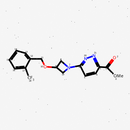 COC(=O)c1ccc(N2CC(OCc3ccccc3C(F)(F)F)C2)nn1